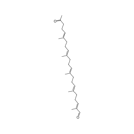 CC(=O)CC/C=C(\C)CC/C=C(\C)CC/C=C(\C)CC/C=C(\C)CC/C=C(\C)C=O